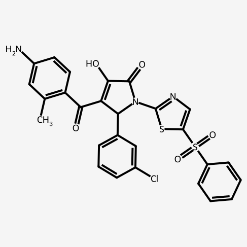 Cc1cc(N)ccc1C(=O)C1=C(O)C(=O)N(c2ncc(S(=O)(=O)c3ccccc3)s2)C1c1cccc(Cl)c1